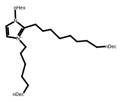 CCCCCCCCCCCCCCCCCCc1n(CCCCCC)cc[n+]1CCCCCCCCCCCCCCC